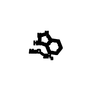 CO[SiH3].c1ccc2[nH]nnc2c1